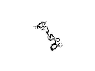 COc1ccnc(OCN2CCN(C(=O)c3ccccc3OC)CC2)n1